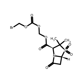 CC1(C)[C@H](C(=O)OCOC(=O)OCBr)N2C(=O)C[C@H]2S1(=O)=O